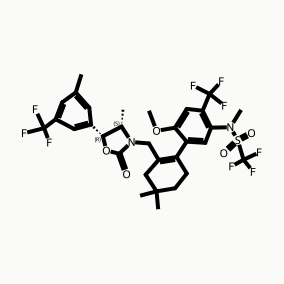 COc1cc(C(F)(F)F)c(N(C)S(=O)(=O)C(F)(F)F)cc1C1=C(CN2C(=O)O[C@H](c3cc(C)cc(C(F)(F)F)c3)[C@@H]2C)CC(C)(C)CC1